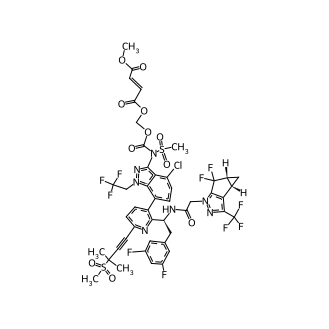 COC(=O)/C=C/C(=O)OCOC(=O)N(c1nn(CC(F)(F)F)c2c(-c3ccc(C#CC(C)(C)S(C)(=O)=O)nc3[C@H](Cc3cc(F)cc(F)c3)NC(=O)Cn3nc(C(F)(F)F)c4c3C(F)(F)[C@@H]3C[C@H]43)ccc(Cl)c12)S(C)(=O)=O